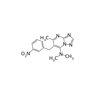 Cc1nc2ncnn2c(N(C)C)c1Cc1cccc([N+](=O)[O-])c1